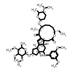 CC[C@H]1CCC[C@H](O[C@H]2CC[C@H](N(C)C)C(C)O2)[C@@H](C)C(=O)C2=C[C@@H]3[C@@H](CC(Nc4cc(OC)cc(OC)c4)[C@@H]4C[C@@H](O[C@@H]5OC(C)[C@H](OC)C(OC)C5OC)C[C@@H]34)[C@@H]2CC(=O)O1